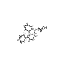 ON=CC1c2ccccc2-c2c(-c3cncnc3)cccc21